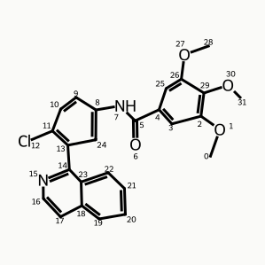 COc1cc(C(=O)Nc2ccc(Cl)c(-c3nccc4ccccc34)c2)cc(OC)c1OC